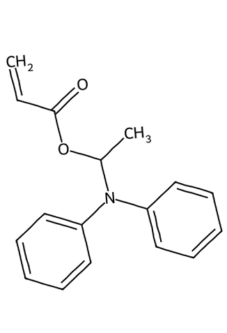 C=CC(=O)OC(C)N(c1ccccc1)c1ccccc1